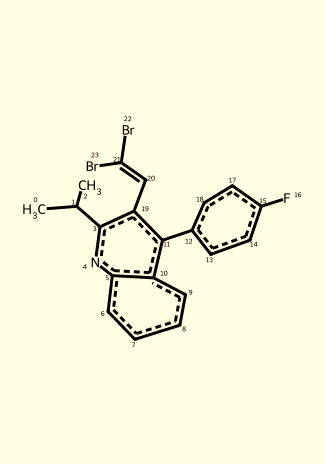 CC(C)c1nc2ccccc2c(-c2ccc(F)cc2)c1C=C(Br)Br